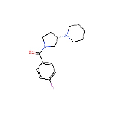 O=C(c1ccc(I)cc1)N1CC[C@H](N2CCCCC2)C1